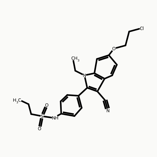 CCCS(=O)(=O)Nc1ccc(-c2c(C#N)c3ccc(OCCCl)cc3n2CC)cc1